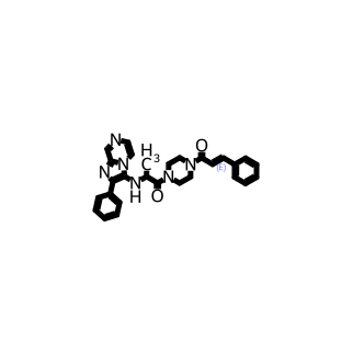 CC(Nc1c(-c2ccccc2)nc2cnccn12)C(=O)N1CCN(C(=O)/C=C/c2ccccc2)CC1